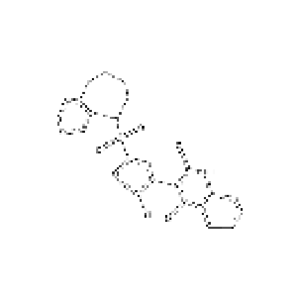 O=c1[nH]c2ccccc2c(=O)n1-c1cc(S(=O)(=O)N2CCCCc3ccccc32)ccc1Cl